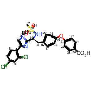 CCCCn1cc(-c2ccc(Cl)cc2Cl)nc1[C@H](Cc1ccc(Oc2ccc(C(=O)O)cc2)cc1)NS(C)(=O)=O